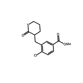 COC(=O)c1ccc(Cl)c(CC2CCCSC2=O)c1